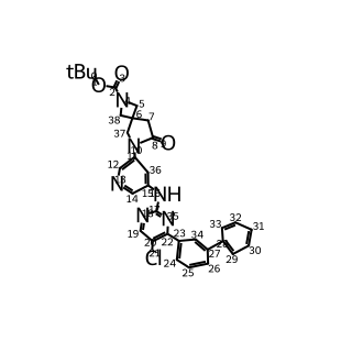 CC(C)(C)OC(=O)N1CC2(CC(=O)N(c3cncc(Nc4ncc(Cl)c(-c5cccc(-c6ccccc6)c5)n4)c3)C2)C1